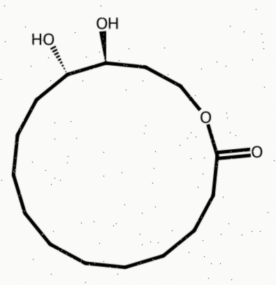 O=C1CCCCCCCCCC[C@H](O)[C@@H](O)CCO1